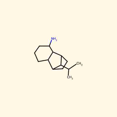 CC(C)C1C2CCC1C1C(N)CCCC21